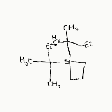 CCC(C)(C)[Si]1(C(C)(C)CC)CCC1